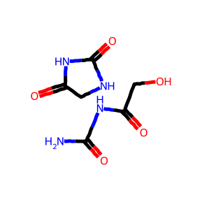 NC(=O)NC(=O)CO.O=C1CNC(=O)N1